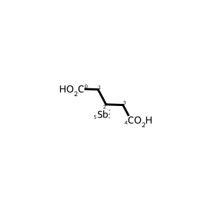 O=C(O)CCCC(=O)O.[Sb]